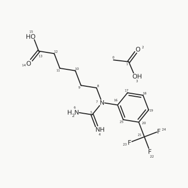 CC(=O)O.N=C(N)N(CCCCCC(=O)O)c1cccc(C(F)(F)F)c1